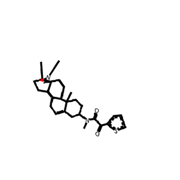 CC1C2CCC3C4CC=C5CC(N(C)C(=O)C(=O)c6cccs6)CCC5(C)C4CCC32CN1C